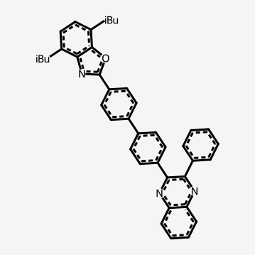 CCC(C)c1ccc(C(C)CC)c2oc(-c3ccc(-c4ccc(-c5nc6ccccc6nc5-c5ccccc5)cc4)cc3)nc12